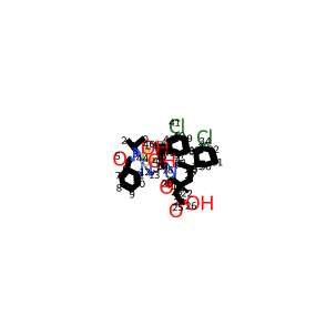 CC(C)N1C(=O)c2ccccc2N(C[C@H](C2CC2)N2C(=O)[C@@](C)(CC(=O)O)C[C@H](c3cccc(Cl)c3)[C@H]2c2ccc(Cl)cc2)S1(O)O